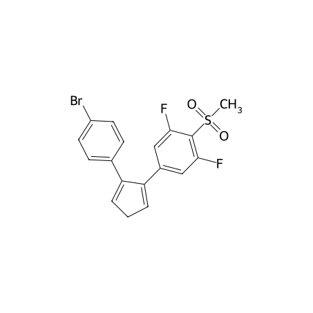 CS(=O)(=O)c1c(F)cc(C2=CCC=C2c2ccc(Br)cc2)cc1F